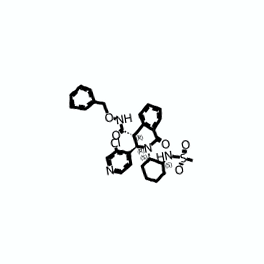 CS(=O)(=O)N[C@H]1CCCC[C@@H]1N1C(=O)c2ccccc2[C@@H](C(=O)NOCc2ccccc2)[C@@H]1c1ccncc1Cl